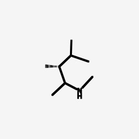 CNC(C)[C@H](C)C(C)C